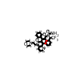 CN(CCN1CCOCC1)C(=O)c1c(-c2ccccn2)ccc(C(=O)N(C(N)=O)C(c2ccccc2)C(F)(F)F)c1-c1ccccc1